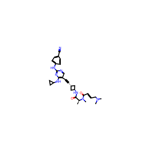 C[C@@H](C(=O)N[C@H]1C[C@H](C#Cc2cnc(Nc3ccc(C#N)cc3)nc2NC2CC2)C1)N(C)C(=O)/C=C/CN(C)C